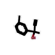 C#CC(C)(O)c1cccc(C)c1